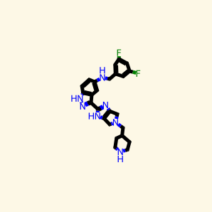 Fc1cc(F)cc(CNc2ccc3[nH]nc(-c4nc5c([nH]4)CN(CC4CCNCC4)C5)c3c2)c1